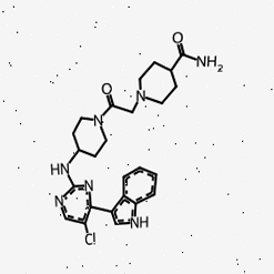 NC(=O)C1CCN(CC(=O)N2CCC(Nc3ncc(Cl)c(-c4c[nH]c5ccccc45)n3)CC2)CC1